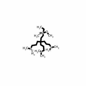 CC[Si](CCC(CCCN(C)C)(CCCN(C)C)CCCN(C)C)(OC)OC